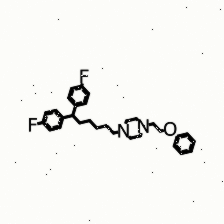 Fc1ccc(C(CCCCCN2CCN(CCOc3ccccc3)CC2)c2ccc(F)cc2)cc1